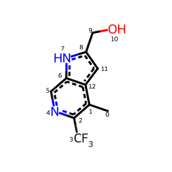 Cc1c(C(F)(F)F)ncc2[nH]c(CO)cc12